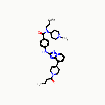 COCCN(C(=O)c1ccc(Nc2nc3c(C4=CCN(C(=O)CCC(F)(F)F)CC4)cccn3n2)cc1)C1CCN(C)CC1